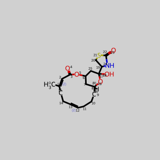 C/C1=C/C(=O)OC2C[C@@H](CCC/C=C\CC1)OC(O)(C1CSC(=O)N1)C2